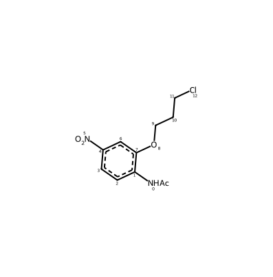 CC(=O)Nc1ccc([N+](=O)[O-])cc1OCCCCl